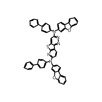 c1ccc(-c2ccc(N(c3ccc4c(c3)oc3ccccc34)c3cc4sc5nc(N(c6ccc(-c7ccccc7)cc6)c6ccc7c(c6)oc6ccccc67)ccc5c4nn3)cc2)cc1